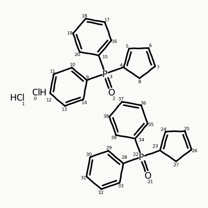 Cl.Cl.O=P(C1=CC=CC1)(c1ccccc1)c1ccccc1.O=P(C1=CC=CC1)(c1ccccc1)c1ccccc1